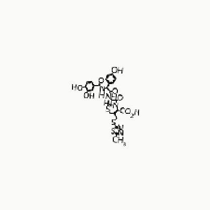 Cc1nnc(SCC2=C(C(=O)O)N3C(=O)C(NC(=O)C(NC(=O)c4ccc(O)c(O)c4)c4ccc(O)cc4)[C@H]3SC2)s1